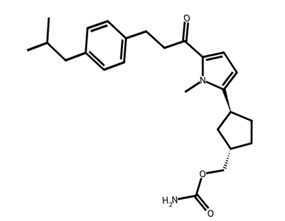 CC(C)Cc1ccc(CCC(=O)c2ccc([C@H]3CC[C@H](COC(N)=O)C3)n2C)cc1